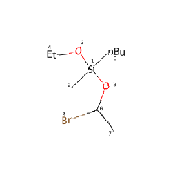 CCCC[Si](C)(OCC)OC(C)Br